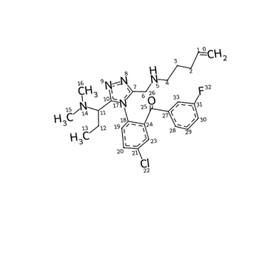 C=CCCCNCc1nnc(C(CC)N(C)C)n1-c1ccc(Cl)cc1C(=O)c1cccc(F)c1